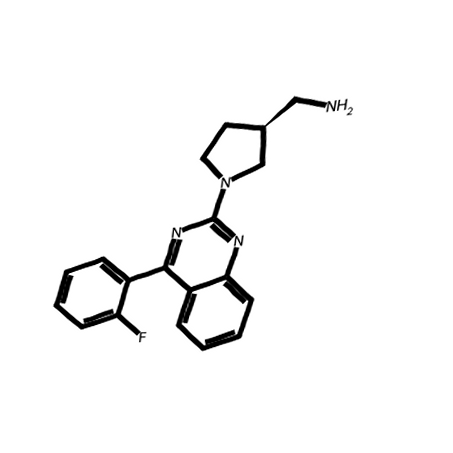 NC[C@@H]1CCN(c2nc(-c3ccccc3F)c3ccccc3n2)C1